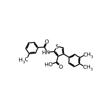 Cc1cccc(C(=O)Nc2scc(-c3ccc(C)c(C)c3)c2C(=O)O)c1